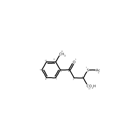 CC(=O)SC(CC(=O)c1ccccc1C)C(=O)O